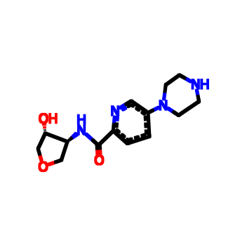 O=C(N[C@H]1COC[C@@H]1O)c1ccc(N2CCNCC2)cn1